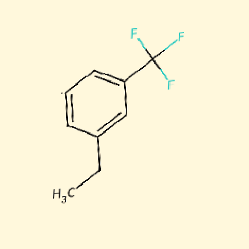 CCc1c[c]cc(C(F)(F)F)c1